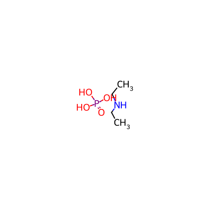 CCNCC.O=P(O)(O)O